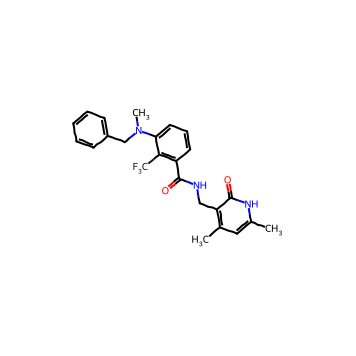 Cc1cc(C)c(CNC(=O)c2cccc(N(C)Cc3ccccc3)c2C(F)(F)F)c(=O)[nH]1